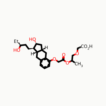 CC[C@H](O)CC[C@@H]1[C@H]2Cc3cccc(OCC(=O)OC(C)COCC(=O)O)c3C[C@H]2C[C@H]1O